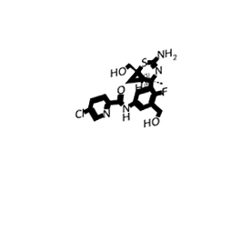 C[C@@]1(c2cc(NC(=O)c3ccc(Cl)cn3)cc(CO)c2F)N=C(N)S[C@@]2(CO)C[C@H]21